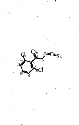 O=C(CN=C=S)c1c(Cl)cccc1Cl